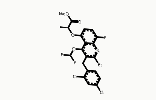 CCc1nc2c(F)ccc(O[C@@H](C)C(=O)OC)c2c(OC(F)F)c1Cc1ccc(Cl)cc1Cl